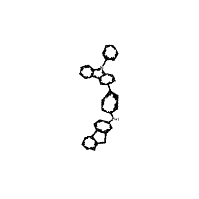 c1ccc(-n2c3ccccc3c3cc(-c4ccc(Nc5ccc6c(c5)Cc5ccccc5-6)cc4)ccc32)cc1